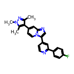 Cc1nn(C)c(C)c1-c1ccn2c(-c3ccnc(-c4ccc(F)cc4)c3)cnc2c1